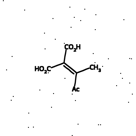 CC(=O)C(C)=C(C(=O)O)C(=O)O